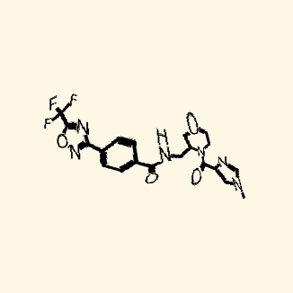 Cn1cnc(C(=O)N2CCOCC2CNC(=O)c2ccc(-c3noc(C(F)(F)F)n3)cc2)c1